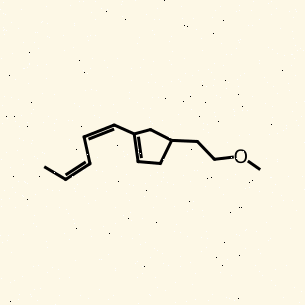 C/C=C\C=C/C1=CCC(CCOC)C1